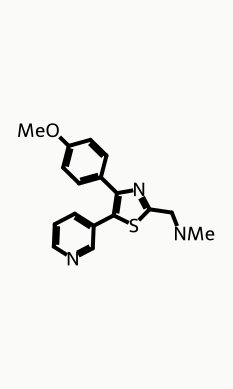 CNCc1nc(-c2ccc(OC)cc2)c(-c2cccnc2)s1